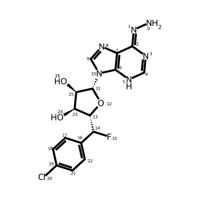 NN=c1nc[nH]c2c1ncn2[C@@H]1O[C@H](C(F)c2ccc(Cl)cc2)[C@@H](O)[C@H]1O